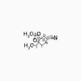 CCC1(OC(C)=O)CC2CC1CC2C#N